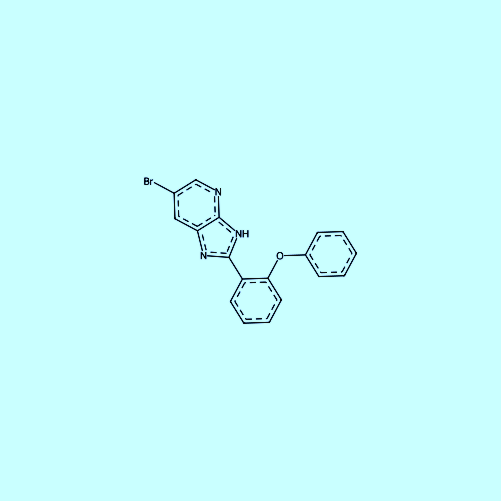 Brc1cnc2[nH]c(-c3ccccc3Oc3ccccc3)nc2c1